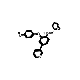 COc1ccc(Oc2cc(-c3cccnc3)ccc2NC[C@@H]2CCCN2)cc1